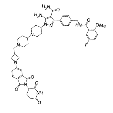 COc1ccc(F)cc1C(=O)NCc1ccc(-c2nn(C3CCN(C4CCN(CC5CN(c6ccc7c(c6)C(=O)N(C6CCC(=O)NC6=O)C7=O)C5)CC4)CC3)c(N)c2C(N)=O)cc1